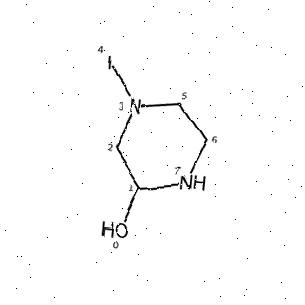 OC1CN(I)CCN1